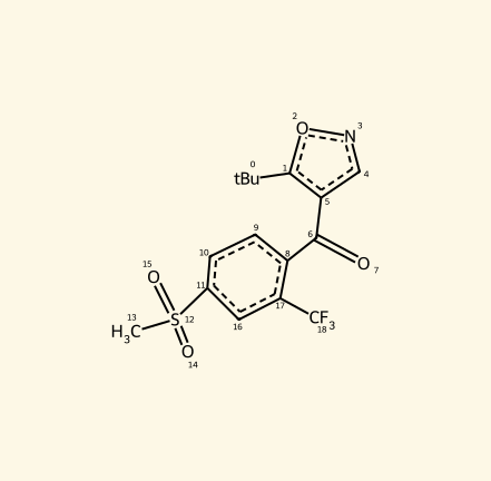 CC(C)(C)c1oncc1C(=O)c1ccc(S(C)(=O)=O)cc1C(F)(F)F